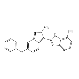 Cn1nc2cc(Sc3ccccc3)ccc2c1-c1cc2nccc(C(=O)O)c2[nH]1